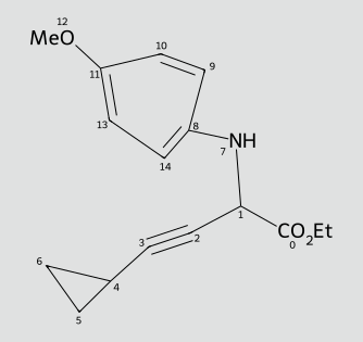 CCOC(=O)C(C#CC1CC1)Nc1ccc(OC)cc1